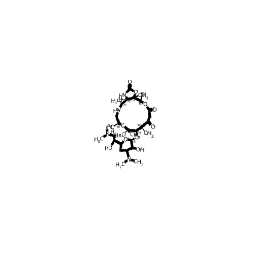 CC[C@H]1OC(=O)CC(=O)[C@H](C)[C@@H](O[C@@H]2OC(C(O)CN(C)C(C)C)CC(N(C)C)C2O)[C@](C)(OC)C[C@@H](C)CN[C@H](C)[C@H]2NC(=O)O[C@@]21C